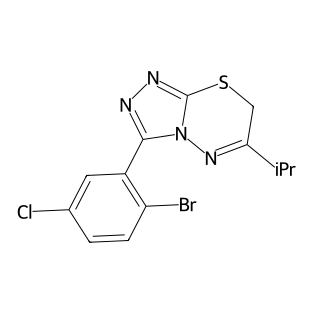 CC(C)C1=Nn2c(nnc2-c2cc(Cl)ccc2Br)SC1